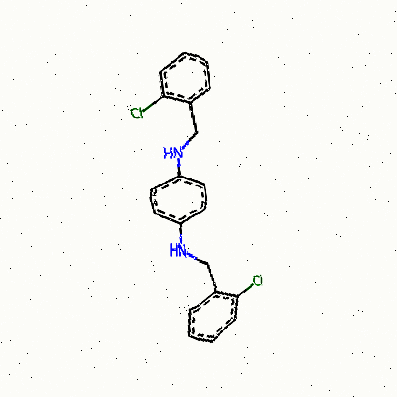 Clc1ccccc1CNc1ccc(NCc2ccccc2Cl)cc1